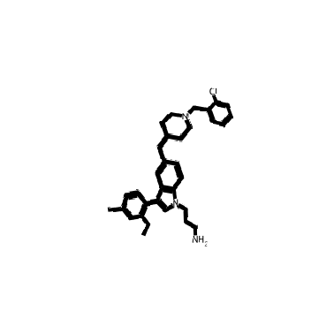 CCc1cc(C)ccc1-c1cn(CCCN)c2ccc(CC3CCN(Cc4ccccc4Cl)CC3)cc12